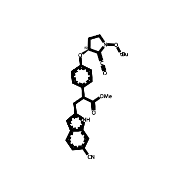 COC(=O)C(Cc1cc2ccc(C#N)cc2[nH]1)c1ccc(O[C@H]2CCN(OC(C)(C)C)C2=C=O)cc1